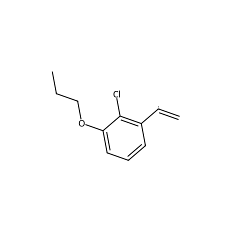 C=[C]c1cccc(OCCC)c1Cl